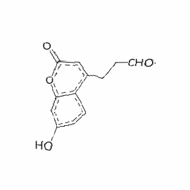 O=[C]CCc1cc(=O)oc2cc(O)ccc12